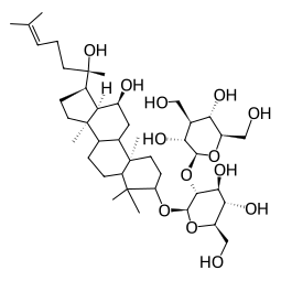 CC(C)=CCC[C@](C)(O)[C@@H]1CC[C@]2(C)C3CCC4C(C)(C)C(O[C@@H]5O[C@H](CO)[C@@H](O)[C@H](O)[C@H]5O[C@@H]5O[C@H](CO)[C@@H](O)[C@H](CO)[C@H]5O)CC[C@]4(C)C3C[C@H](O)[C@H]12